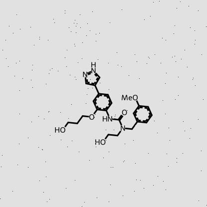 COc1cccc(CN(CCO)C(=O)Nc2ccc(-c3cn[nH]c3)cc2OCCCO)c1